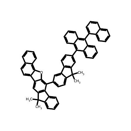 CC1(C)c2ccc(-c3c4c(cc5c3oc3c6ccccc6ccc53)C(C)(C)c3ccccc3-4)cc2-c2ccc(-c3c4ccccc4c(-c4cccc5ccccc45)c4ccccc34)cc21